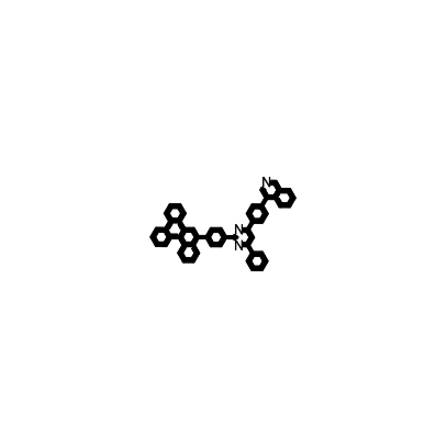 c1ccc(-c2cc(-c3ccc(-c4cncc5ccccc45)cc3)nc(-c3ccc(-c4cc5c6ccccc6c6ccccc6c5c5ccccc45)cc3)n2)cc1